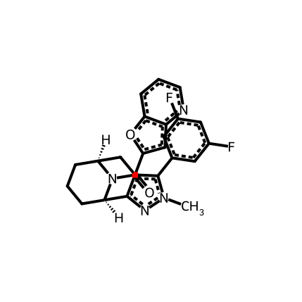 Cn1nc2c(c1-c1cc(F)cc(F)c1)C[C@@H]1CCC[C@H]2N1C(=O)c1cc2ncccc2o1